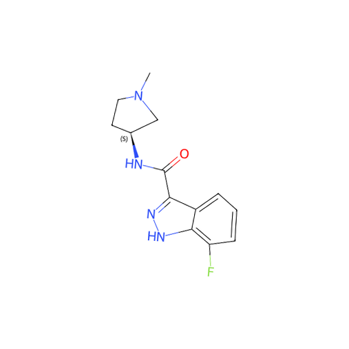 CN1CC[C@H](NC(=O)c2n[nH]c3c(F)cccc23)C1